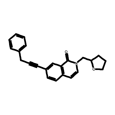 O=c1c2cc(C#CCc3ccccc3)ccc2ccn1CC1CCCO1